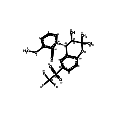 COc1cccn([C@H]2c3cc(S(=O)(=O)C(F)(F)F)ccc3OC(C)(C)[C@@H]2O)c1=O